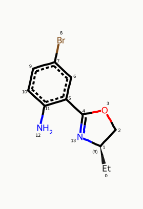 CC[C@@H]1COC(c2cc(Br)ccc2N)=N1